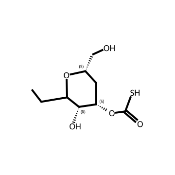 CCC1O[C@H](CO)C[C@H](OC(=O)S)[C@@H]1O